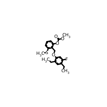 CCc1cc(CC)c(OCc2c(OC(=O)OC)cccc2SC)cc1F